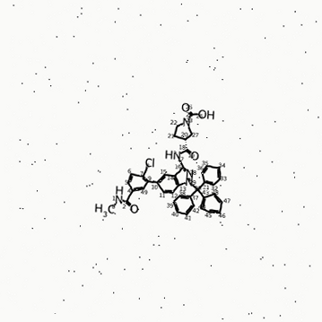 CNC(=O)c1ccc(Cl)c(-c2ccc3c(c2)c(NC(=O)[C@@H]2CCN(C(=O)O)C2)nn3C(c2ccccc2)(c2ccccc2)c2ccccc2)c1